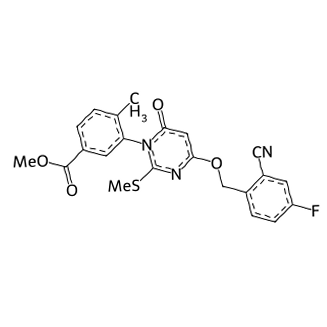 COC(=O)c1ccc(C)c(-n2c(SC)nc(OCc3ccc(F)cc3C#N)cc2=O)c1